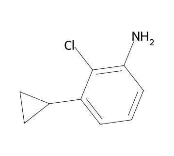 Nc1cccc(C2CC2)c1Cl